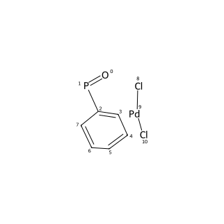 O=Pc1ccccc1.[Cl][Pd][Cl]